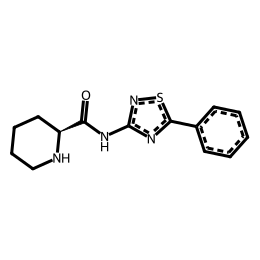 O=C(Nc1nsc(-c2ccccc2)n1)[C@@H]1CCCCN1